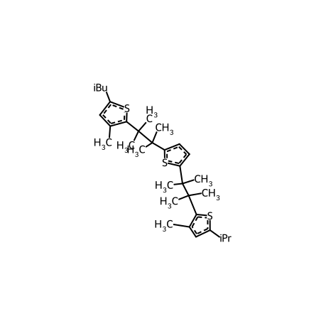 CCC(C)c1cc(C)c(C(C)(C)C(C)(C)c2ccc(C(C)(C)C(C)(C)c3sc(C(C)C)cc3C)s2)s1